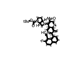 C#Cc1c(F)ccc2cccc(-c3ncc4c(N5C[C@@H]6[C@H]5CCN6C(=O)OC(C)(C)C)c(OC)cnc4c3F)c12